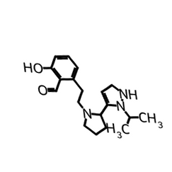 CC(C)N1NCC=C1C1CCCN1CCc1cccc(O)c1C=O